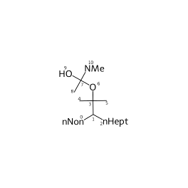 CCCCCCCCCC(CCCCCCC)C(C)(C)OC(C)(O)NC